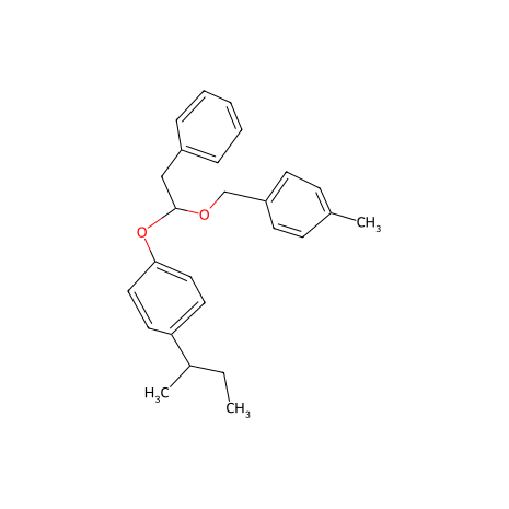 CCC(C)c1ccc(OC(Cc2ccccc2)OCc2ccc(C)cc2)cc1